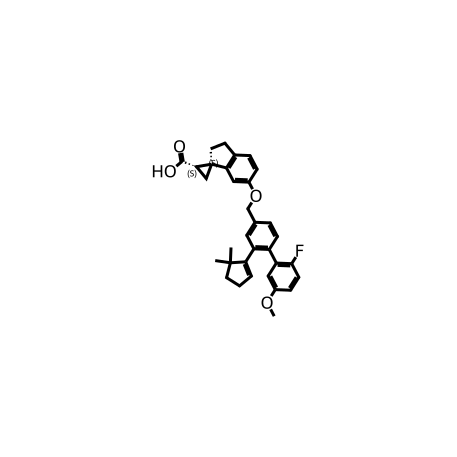 COc1ccc(F)c(-c2ccc(COc3ccc4c(c3)[C@@]3(CC4)C[C@@H]3C(=O)O)cc2C2=CCCC2(C)C)c1